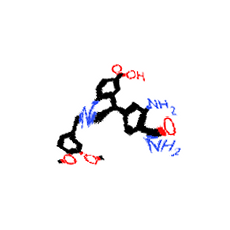 COc1ccc(CN2CC(c3ccc(C(N)=O)c(N)c3)c3cc(C(=O)O)ccc32)cc1OC